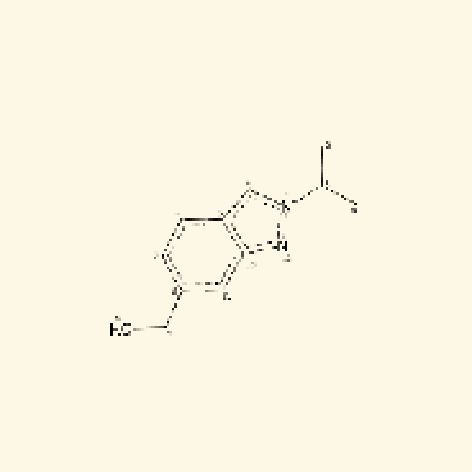 CC(C)n1cc2ccc(CO)cc2n1